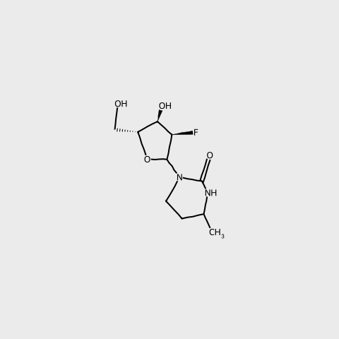 CC1CCN(C2O[C@H](CO)[C@@H](O)[C@H]2F)C(=O)N1